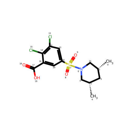 C[C@@H]1C[C@H](C)CN(S(=O)(=O)c2cc(Cl)c(Cl)c(C(=O)O)c2)C1